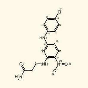 NC(=O)CCNc1nc(Nc2ccc(Cl)cc2)ncc1[N+](=O)[O-]